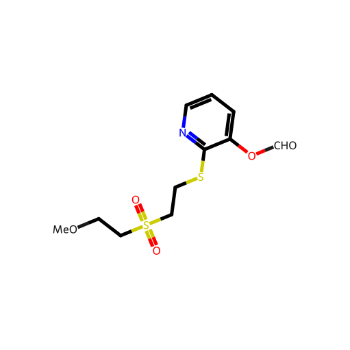 COCCS(=O)(=O)CCSc1ncccc1OC=O